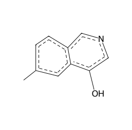 Cc1ccc2cncc(O)c2c1